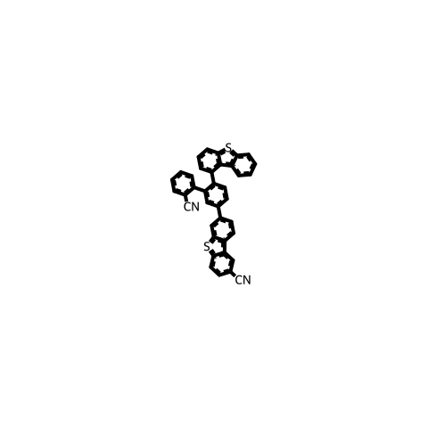 N#Cc1ccc2sc3cc(-c4ccc(-c5cccc6sc7ccccc7c56)c(-c5ccccc5C#N)c4)ccc3c2c1